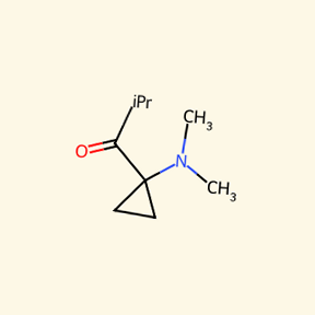 CC(C)C(=O)C1(N(C)C)CC1